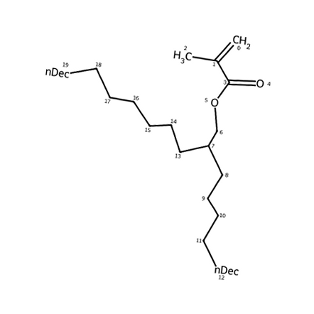 C=C(C)C(=O)OCC(CCCCCCCCCCCCCC)CCCCCCCCCCCCCCCC